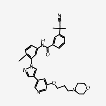 Cc1ccc(NC(=O)c2cccc(C(C)(C)C#N)c2)cc1-n1cc(-c2cncc(OCCCN3CCOCC3)c2)cn1